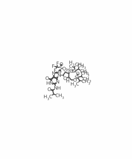 CC(C)C(=O)Nc1nc2c(ncn2[C@@H]2O[C@@H]3CO[Si](C(C)C)(C(C)C)O[Si](C(C)C)(C(C)C)O[C@@H]3[C@H]2OS(=O)(=O)C(F)(F)F)c(=O)[nH]1